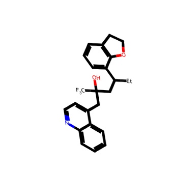 CCC(CC(O)(Cc1ccnc2ccccc12)C(F)(F)F)c1cccc2c1OCC2